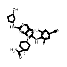 C[C@]1(C(N)=O)CC[C@@H](n2c(Nc3c(F)cc(C#N)cc3Cl)nc3cnc(N[C@H]4CC[C@H](O)C4)nc32)CC1